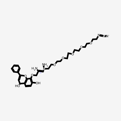 [N-]=[N+]=NCCOCCOCCOCCOCCOCCN(N)/C=C(\N)COc1c(O)ccc2c1OC(c1ccccc1)=CC2O